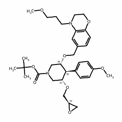 COCCCN1CCOc2ccc(CO[C@H]3CN(C(=O)OC(C)(C)C)C[C@@H](OC[C@H]4CO4)[C@@H]3c3ccc(OC)cc3)cc21